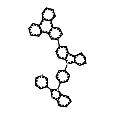 c1cncc(-c2nc3ccccc3n2-c2ccc(-n3c4ccccc4c4cc(-c5ccc6c7ccccc7c7ccccc7c6c5)ccc43)cc2)c1